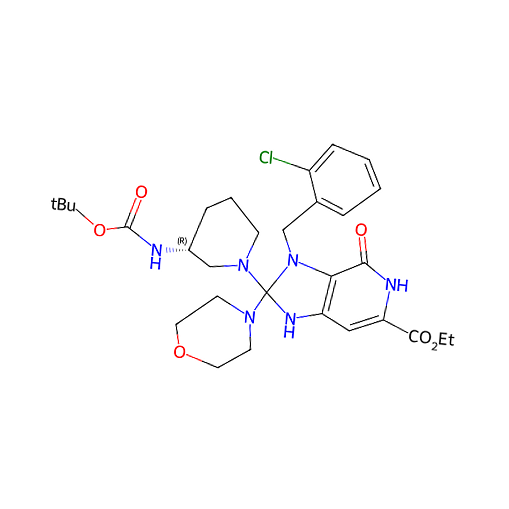 CCOC(=O)c1cc2c(c(=O)[nH]1)N(Cc1ccccc1Cl)C(N1CCOCC1)(N1CCC[C@@H](NC(=O)OC(C)(C)C)C1)N2